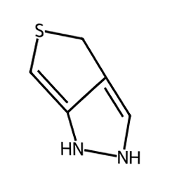 C1=C2CSC=C2NN1